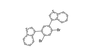 Brc1cc(Br)c(-c2csc3ccccc23)cc1-c1csc2ccccc12